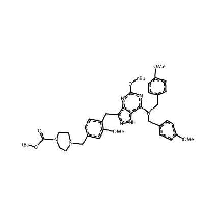 CCCCOc1nc(N(Cc2ccc(OC)cc2)Cc2ccc(OC)cc2)c2[nH]nc(Cc3ccc(CN4CCN(C(=O)OC(C)(C)C)CC4)cc3OC)c2n1